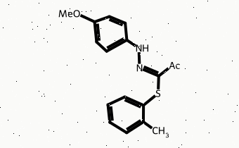 COc1ccc(N/N=C(/Sc2ccccc2C)C(C)=O)cc1